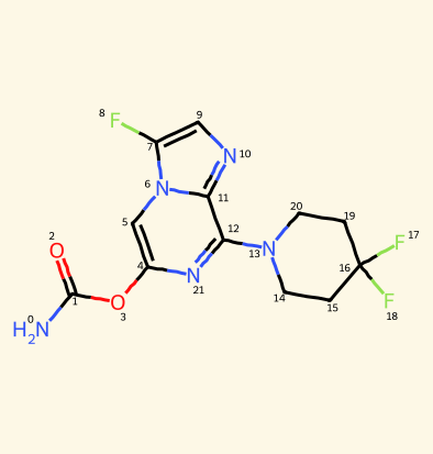 NC(=O)Oc1cn2c(F)cnc2c(N2CCC(F)(F)CC2)n1